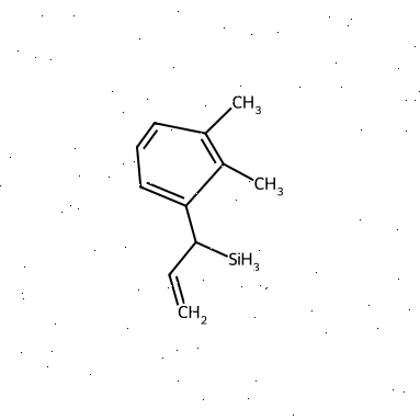 C=CC([SiH3])c1cccc(C)c1C